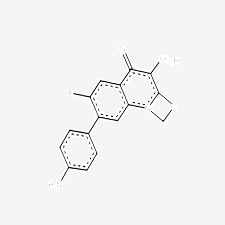 Nc1ccc(-c2cc3c(cc2F)c(=O)c(C(=O)O)c2n3CS2)cc1